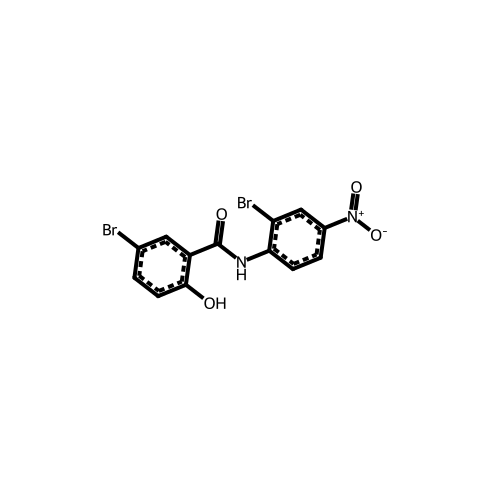 O=C(Nc1ccc([N+](=O)[O-])cc1Br)c1cc(Br)ccc1O